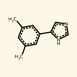 Cc1cc(C)cc(-c2cnc[nH]2)c1